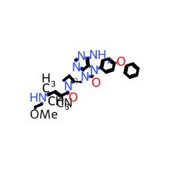 COCCNC(C)(C)C=C(C#N)C(=O)N1CC[C@H]1Cn1c(=O)n(-c2ccc(Oc3ccccc3)cc2)c2c(N)ncnc21